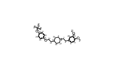 COc1ccc(CCN2CCC(CCOc3ccc(OC(F)(F)F)cc3)CC2)cc1OC